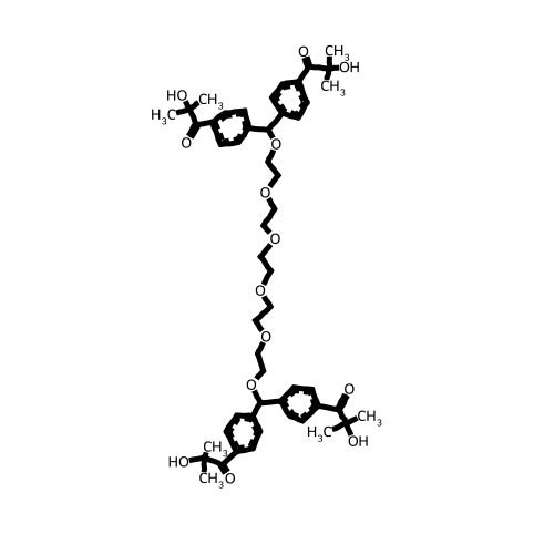 CC(C)(O)C(=O)c1ccc(C(OCCOCCOCCOCCOCCOC(c2ccc(C(=O)C(C)(C)O)cc2)c2ccc(C(=O)C(C)(C)O)cc2)c2ccc(C(=O)C(C)(C)O)cc2)cc1